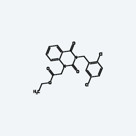 CCOC(=O)Cn1c(=O)n(Cc2cc(Cl)ccc2Cl)c(=O)c2ccccc21